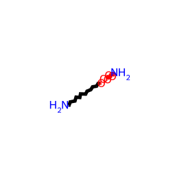 NCCCCCCCCCCCCOOOOON